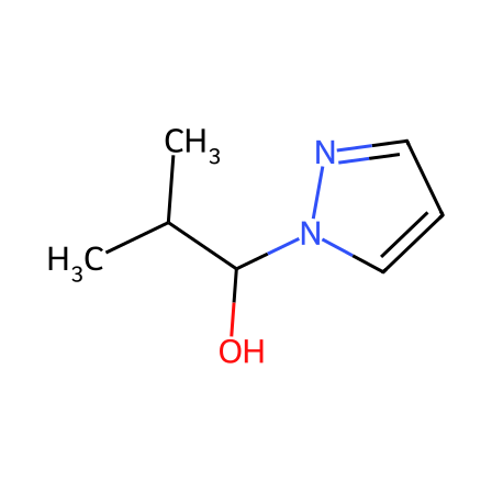 CC(C)C(O)n1cccn1